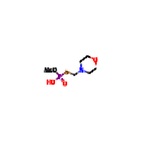 COP(=O)(O)SCN1CCOCC1